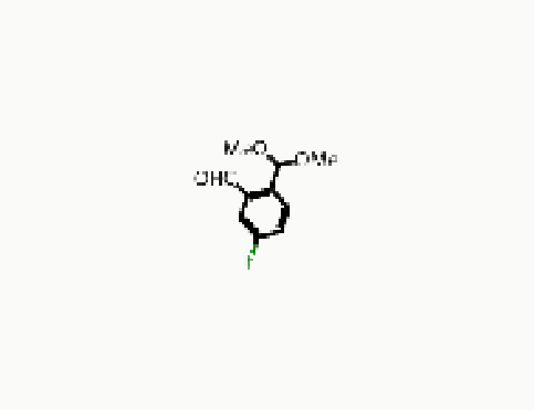 COC(OC)c1ccc(F)cc1C=O